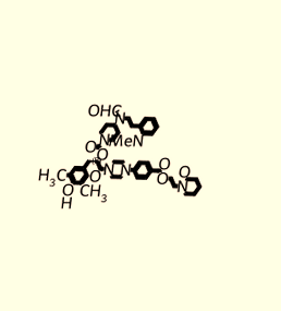 CNc1ccccc1CCN(C=O)C1CCN(C(=O)O[C@H](Cc2cc(C)c(O)c(C)c2)C(=O)N2CCN(c3ccc(C(=O)OCCN4CCCCC4=O)cc3)CC2)CC1